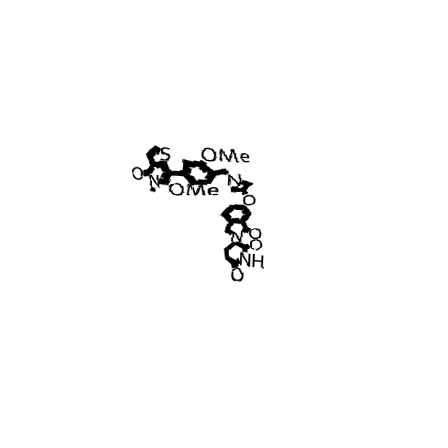 COc1cc(-c2cn(C)c(=O)c3ccsc23)cc(OC)c1CN1CC(Oc2ccc3c(c2)C(=O)N(C2CCC(=O)NC2=O)C3)C1